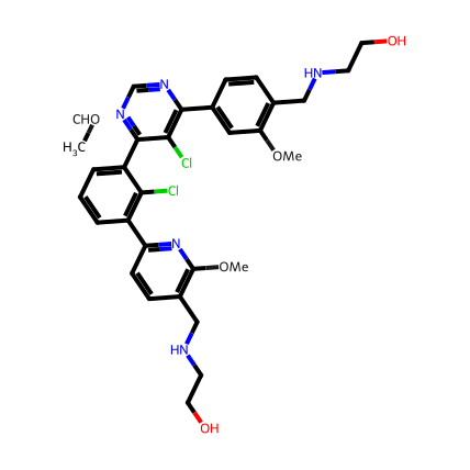 CC=O.COc1cc(-c2ncnc(-c3cccc(-c4ccc(CNCCO)c(OC)n4)c3Cl)c2Cl)ccc1CNCCO